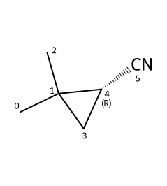 CC1(C)C[C@H]1C#N